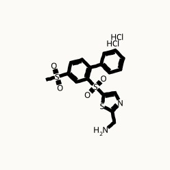 CS(=O)(=O)c1ccc(-c2ccccc2)c(S(=O)(=O)c2cnc(CN)s2)c1.Cl.Cl